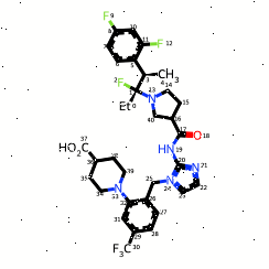 CC[C@@](F)([C@H](C)c1ccc(F)cc1F)N1CCC(C(=O)Nc2nccn2Cc2ccc(C(F)(F)F)cc2N2CCC(C(=O)O)CC2)C1